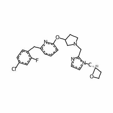 Fc1cc(Cl)ccc1Cc1cccc(OC2CCN(Cc3nccn3C[C@@H]3CCO3)C2)n1